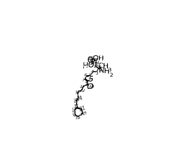 CC(N)(CCc1ccc(C(=O)CCCCCC2CCCCC2)s1)CCP(=O)(O)O